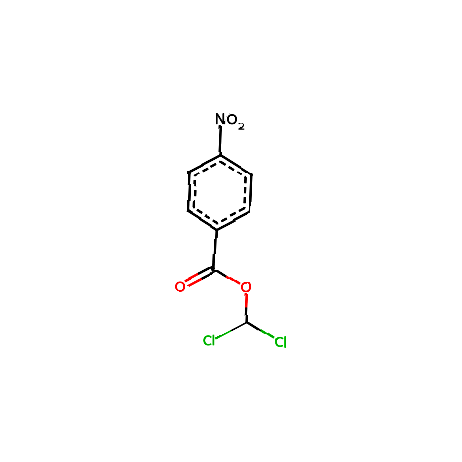 O=C(OC(Cl)Cl)c1ccc([N+](=O)[O-])cc1